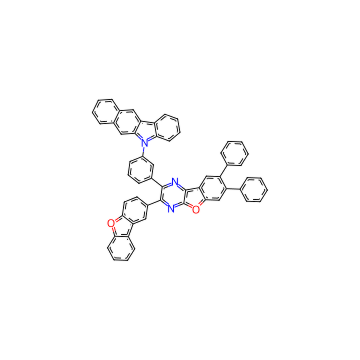 c1ccc(-c2cc3oc4nc(-c5ccc6oc7ccccc7c6c5)c(-c5cccc(-n6c7ccccc7c7cc8ccccc8cc76)c5)nc4c3cc2-c2ccccc2)cc1